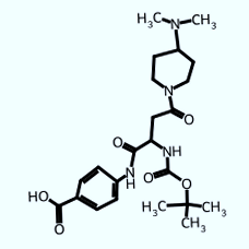 CN(C)C1CCN(C(=O)CC(NC(=O)OC(C)(C)C)C(=O)Nc2ccc(C(=O)O)cc2)CC1